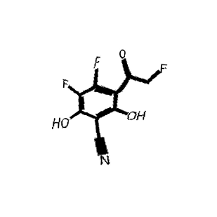 N#Cc1c(O)c(F)c(F)c(C(=O)CF)c1O